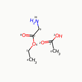 CC(=O)O.CCOC(=O)CN